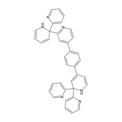 C1=CNC(c2ccccn2)(c2cc(-c3ccc(C4=CC(c5ccccn5)(c5ccccn5)NC=C4)cc3)ccn2)C=C1